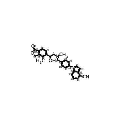 Cc1c(C(O)CN(C)Cc2ccc(-n3ccc4c(C#N)cccc43)cc2)ccc2c1COC2=O